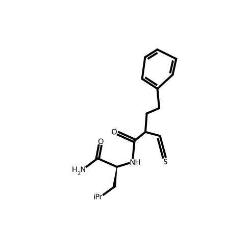 CC(C)C[C@H](NC(=O)C(C=S)CCc1ccccc1)C(N)=O